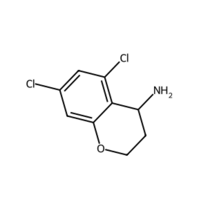 NC1CCOc2cc(Cl)cc(Cl)c21